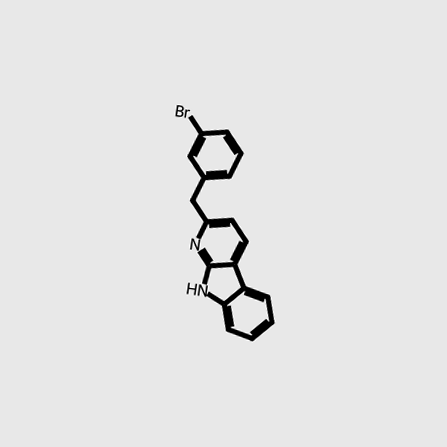 Brc1cccc(Cc2ccc3c(n2)[nH]c2ccccc23)c1